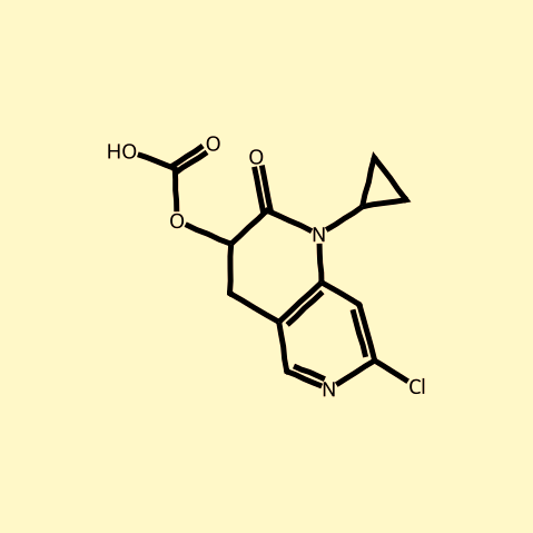 O=C(O)OC1Cc2cnc(Cl)cc2N(C2CC2)C1=O